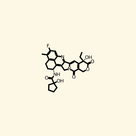 CC[C@@]1(O)C(=O)OCc2c1cc1n(c2=O)Cc2c-1nc1cc(F)c(C)c3c1c2[C@H](NC(=O)C1(O)CCCC1)CC3